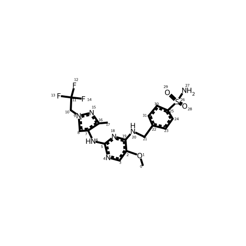 COc1cnc(Nc2cn(CC(F)(F)F)nc2C)nc1NCc1ccc(S(N)(=O)=O)cc1